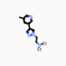 CCN(CC)CCn1cc(-c2cncc(C)c2)cn1